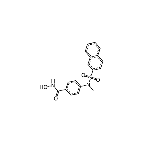 CN(c1ccc(C(=O)NO)cc1)S(=O)(=O)c1ccc2ccccc2c1